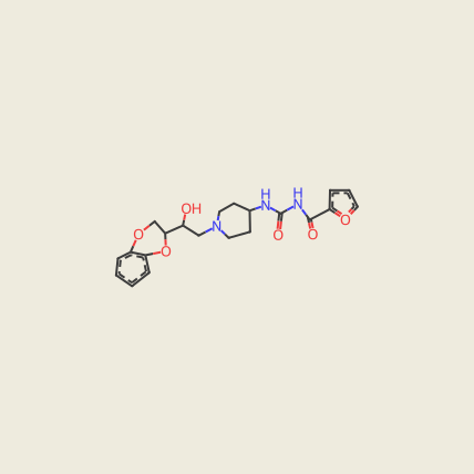 O=C(NC(=O)c1ccco1)NC1CCN(CC(O)C2COc3ccccc3O2)CC1